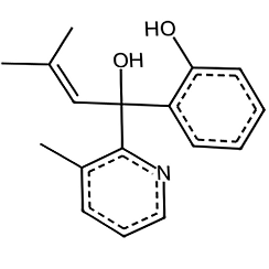 CC(C)=CC(O)(c1ccccc1O)c1ncccc1C